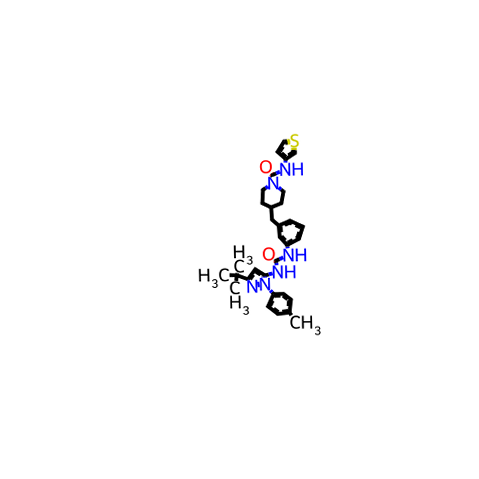 Cc1ccc(-n2nc(C(C)(C)C)cc2NC(=O)Nc2cccc(CC3CCN(C(=O)Nc4ccsc4)CC3)c2)cc1